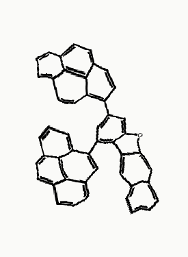 c1ccc2cc3c(cc2c1)oc1cc(-c2ccc4ccc5cccc6ccc2c4c56)cc(-c2cc4cccc5ccc6cccc2c6c54)c13